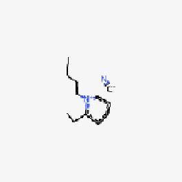 CCCC[n+]1ccccc1CC.[C-]#N